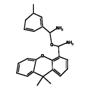 CC1C=C(C(N)OC(N)c2cccc3c2Oc2ccccc2C3(C)C)C=CC1